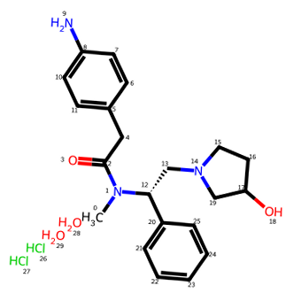 CN(C(=O)Cc1ccc(N)cc1)[C@H](CN1CCC(O)C1)c1ccccc1.Cl.Cl.O.O